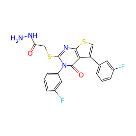 NNC(=O)CSc1nc2scc(-c3cccc(F)c3)c2c(=O)n1-c1cccc(F)c1